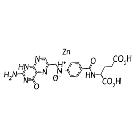 Nc1nc(=O)c2nc(C[NH+]([O-])c3ccc(C(=O)N[C@@H](CCC(=O)O)C(=O)O)cc3)cnc2[nH]1.[Zn]